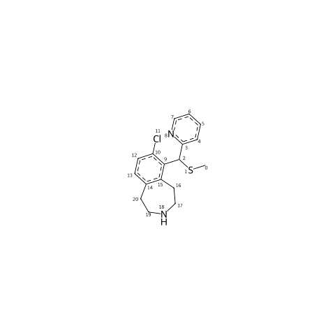 CSC(c1ccccn1)c1c(Cl)ccc2c1CCNCC2